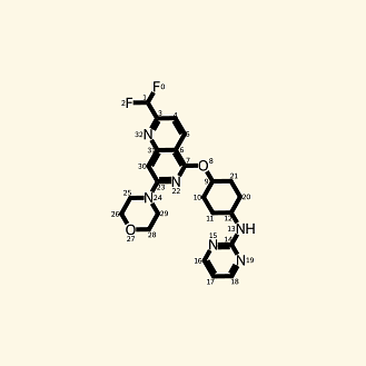 FC(F)c1ccc2c(OC3CCC(Nc4ncccn4)CC3)nc(N3CCOCC3)cc2n1